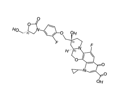 O=C(O)c1cn(C2CC2)c2c3c(c(F)cc2c1=O)N1CC[C@@](O)(COc2ccc(N4C[C@H](CO)OC4=O)cc2F)C[C@@H]1CO3